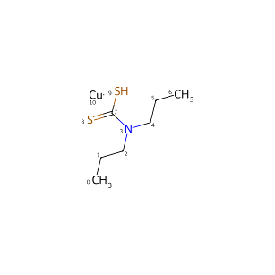 CCCN(CCC)C(=S)S.[Cu]